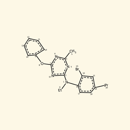 CCN(c1nc(C)nc(Oc2ccccc2)n1)c1ccc(C(C)C)cc1Br